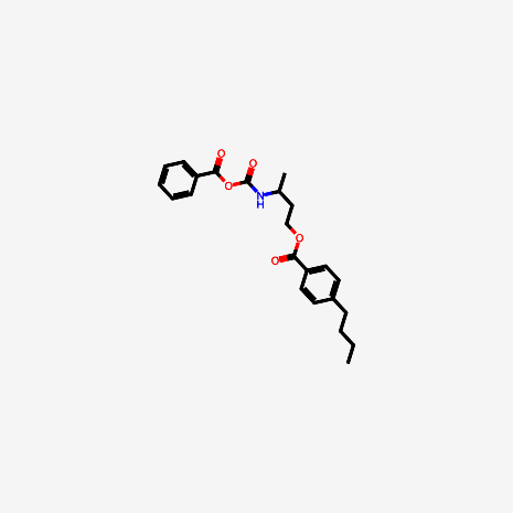 CCCCc1ccc(C(=O)OCCC(C)NC(=O)OC(=O)c2ccccc2)cc1